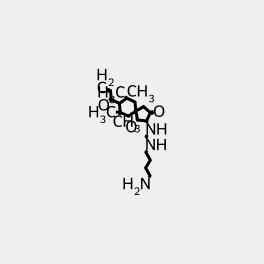 C=CC(=O)C1C(C)(C)CC2(CC(=O)C(NCNCCCCN)C2=O)CC1(C)C